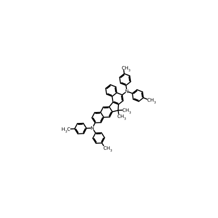 Cc1ccc(N(c2ccc(C)cc2)c2ccc3cc4c(cc3c2)C(C)(C)c2cc(N(c3ccc(C)cc3)c3ccc(C)cc3)c3ccccc3c2-4)cc1